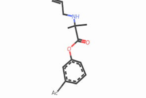 C=CCNC(C)(C)C(=O)Oc1cccc(C(C)=O)c1